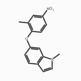 Cc1cc([N+](=O)[O-])ccc1Oc1ccc2ccn(C)c2c1